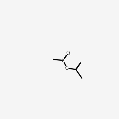 CC(C)OP(C)Cl